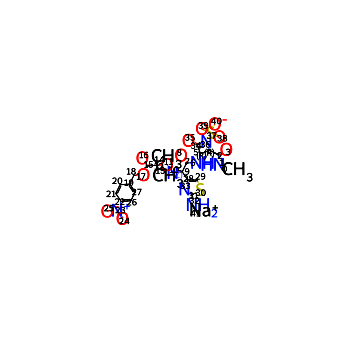 CNC(=O)[C@H]1[C@@H](NC(=O)/C(=N\OC(C)(C)C(=O)OCc2ccc([N+](=O)[O-])cc2)c2csc(N)n2)C(=O)N1S(=O)(=O)[O-].[Na+]